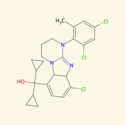 Cc1cc(Cl)cc(Cl)c1N1CCCN2C1=NC1C(Cl)=CC=C(C(O)(C3CC3)C3CC3)C12